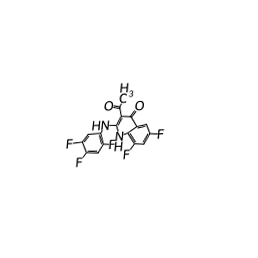 CC(=O)c1c(Nc2cc(F)c(F)cc2F)[nH]c2c(F)cc(F)cc2c1=O